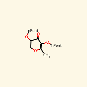 CCCCCOC1=C(C)OCC(OCCCCC)C1=O